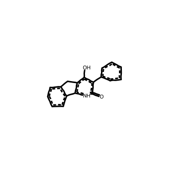 O=c1[nH]c2c(c(O)c1-c1ccccc1)Cc1ccccc1-2